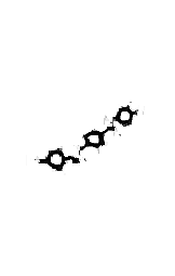 Brc1ccc(-c2nc(-c3ccc(-c4nc5cc(Br)ccc5[nH]4)cc3)no2)cc1